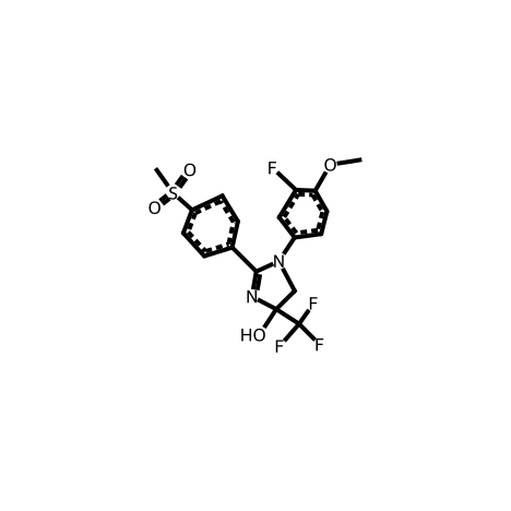 COc1ccc(N2CC(O)(C(F)(F)F)N=C2c2ccc(S(C)(=O)=O)cc2)cc1F